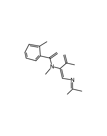 C=C(C)/C(=C\N=C(C)C)N(C)C(=C)c1ccccc1C